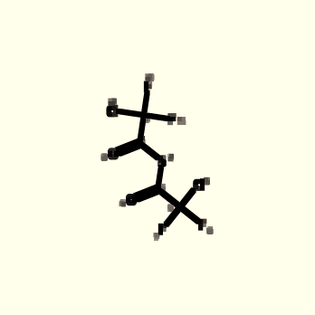 O=C(SC(=O)C(F)(F)Cl)C(F)(F)Cl